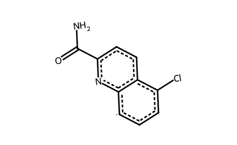 NC(=O)c1ccc2c(Cl)cc[c]c2n1